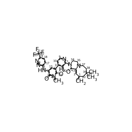 C=C1/C=C2/C(=O)N(c3nccc(-c4cc(Nc5ccc(C(F)(F)F)nn5)c(=O)n(C)c4)c3CO)CCN2CCC(C)(C)C1